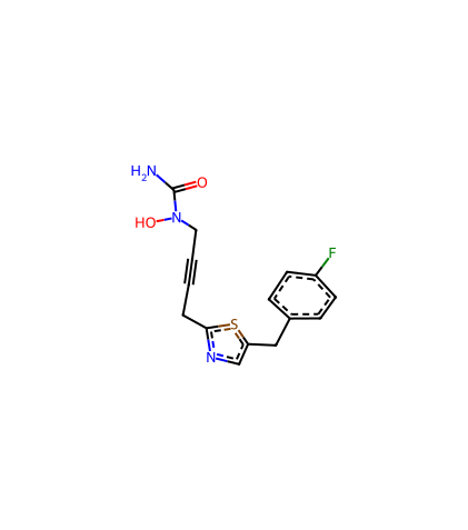 NC(=O)N(O)CC#CCc1ncc(Cc2ccc(F)cc2)s1